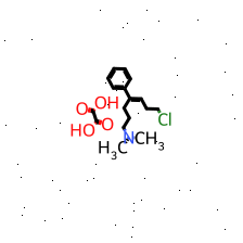 CN(C)CCCC(=CCCCl)c1ccccc1.O=C(O)C(=O)O